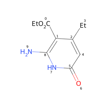 CCOC(=O)c1c(CC)cc(=O)[nH]c1N